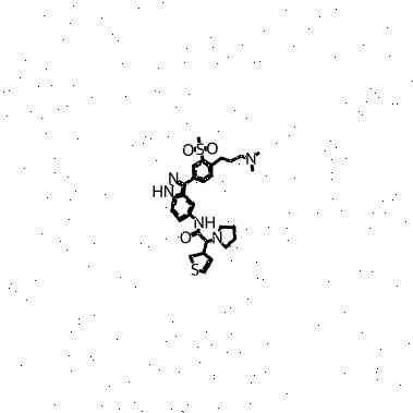 CN(C)CCCc1ccc(-c2n[nH]c3ccc(NC(=O)C(C4C=CSC4)N4CCCC4)cc23)cc1S(C)(=O)=O